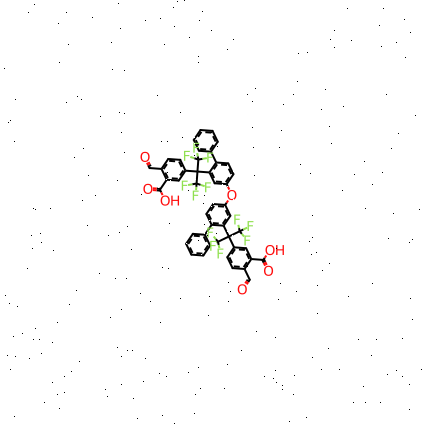 O=Cc1ccc(C(c2cc(Oc3ccc(-c4ccccc4)c(C(c4ccc(C=O)c(C(=O)O)c4)(C(F)(F)F)C(F)(F)F)c3)ccc2-c2ccccc2)(C(F)(F)F)C(F)(F)F)cc1C(=O)O